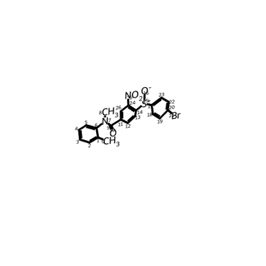 Cc1ccccc1N(C)C(=O)c1ccc([S+]([O-])c2ccc(Br)cc2)c([N+](=O)[O-])c1